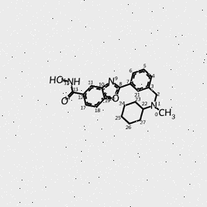 CN(Cc1cccc(-c2nc3cc(C(=O)NO)ccc3o2)c1)C1CCCCC1